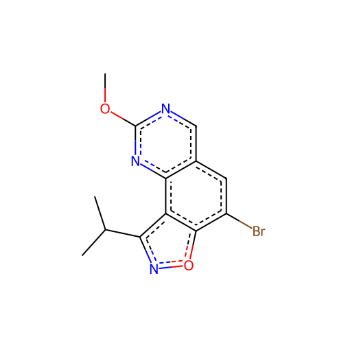 COc1ncc2cc(Br)c3onc(C(C)C)c3c2n1